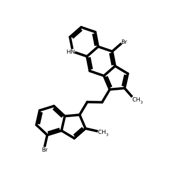 CC1=Cc2c(Br)cccc2C1CCc1c(C)cc2c(Br)c3ccc[nH]c3cc12